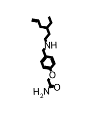 C=CCC(CC)CCNCc1ccc(OCC(N)=O)cc1